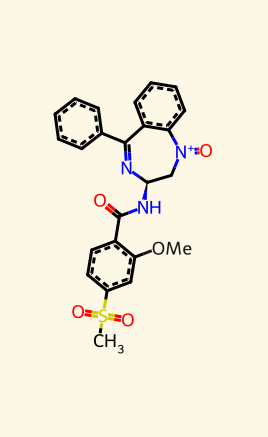 COc1cc(S(C)(=O)=O)ccc1C(=O)N[C@@H]1C[N+](=O)c2ccccc2C(c2ccccc2)=N1